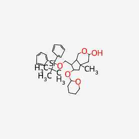 CC12CC(O)OCC1C(CO[Si](c1ccccc1)(c1ccccc1)C(C)(C)C)C(OC1CCCCO1)C2